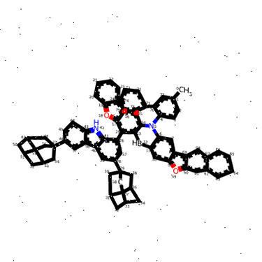 Cc1ccc(N2c3cc4c(cc3Bc3c2cc2c(oc5ccccc52)c3-c2cc(C35CC6CC7CC(C3)C76C5)cc3c2[nH]c2ccc(C56CC7CC8CC(C5)C87C6)cc23)oc2cc3ccccc3cc24)c(-c2ccccc2)c1